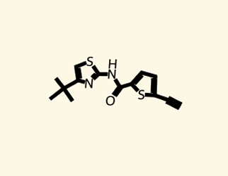 C#Cc1ccc(C(=O)Nc2nc(C(C)(C)C)cs2)s1